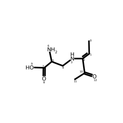 CC=C(NCC(N)C(=O)O)C(C)=O